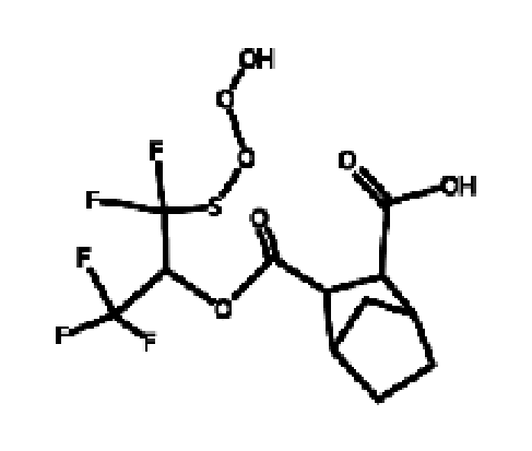 O=C(O)C1C2CCC(C2)C1C(=O)OC(C(F)(F)F)C(F)(F)SOOO